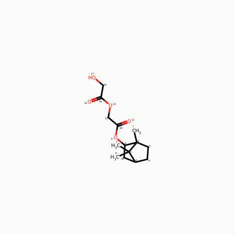 CC1(C)C2CCC1(C)C(OC(=O)COC(=O)CO)C2